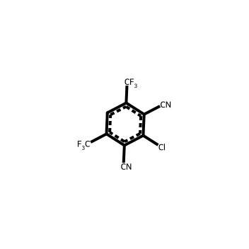 N#Cc1c(C(F)(F)F)cc(C(F)(F)F)c(C#N)c1Cl